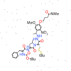 CNC(=O)CCCOc1cc([N+](=O)[O-])c(C(C)NNC(=O)[C@H](CSSC(C)(C)C)N2C(=O)[C@@H](NC(=O)[C@H](Cc3ccccc3)NC(=O)OC(C)(C)C)CC2C)cc1OC